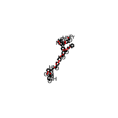 Cc1cc(F)c(Nc2nc(-c3ccc4c(c3)N(C3CC(N5CCCCC5)C3)C(=O)C43CCN(C(=O)CN4CCC(c5ccc(C(=O)NCCNc6cccc7c6C(=O)N(C6CCC(=O)NC6=O)C7=O)cc5)CC4)CC3)cc3ncn(C(C)C)c23)cc1C(=O)NC(C)C